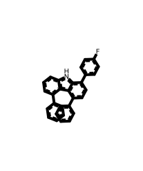 Fc1ccc(-c2ccc(-c3ccccc3)c3c2[nH]c2cccc(-c4ccccc4)c23)cc1